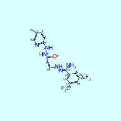 Cc1ccc(NNC(=O)/C=C\N/N=C(\N)c2cc(C(F)(F)F)cc(C(F)(F)F)c2)nc1